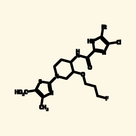 CCc1[nH]c(C(=O)NC2CCN(c3nc(C)c(C(=O)O)s3)CC2OCCCF)nc1Cl